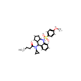 O=C(O)CCC(=O)N(C1CC1)C1c2ccccc2N(S(=O)(=O)c2ccc(OC(F)(F)F)cc2)C2CCCC12